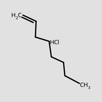 C=CCCCCCC.Cl